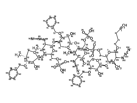 C#CCCCO[C@@H]1OC(COS(=O)(=O)O)[C@@H](O[C@@H]2OC[C@@H](O[C@@H]3OC(COS(=O)(=O)O)[C@@H](O[C@@H]4OC[C@@H](O[C@@H]5OC(COS(=O)(=O)O)[C@@H](O[C@@H]6OC[C@@H](C)[C@@H](OCc7ccccc7)C6O)[C@H](C)C5N=[N+]=[N-])[C@@H](OCc5ccccc5)C4O)[C@H](C)C3N=[N+]=[N-])[C@@H](OCc3ccccc3)C2O)[C@H](C)C1N=[N+]=[N-]